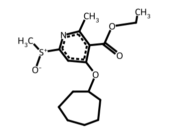 CCOC(=O)c1c(OC2CCCCCC2)cc([S+](C)[O-])nc1C